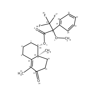 COC(C(=O)O[C@H]1CCCC2=C(C)C(=O)CC[C@@]21C)(c1ccccc1)C(F)(F)F